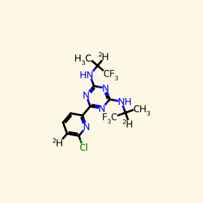 [2H]c1ccc(-c2nc(NC([2H])(C)C(F)(F)F)nc(NC([2H])(C)C(F)(F)F)n2)nc1Cl